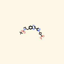 COC(=O)C1CC(n2cc(-c3cnc4ccc(CC5CCN5C(=O)OC(C)(C)C)cc4n3)cn2)C1